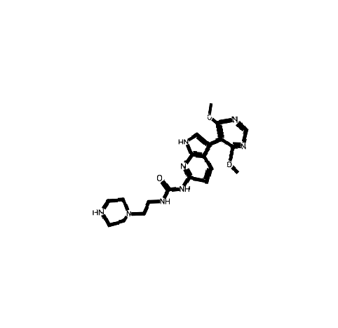 COc1ncnc(OC)c1-c1c[nH]c2nc(NC(=O)NCCN3CCNCC3)ccc12